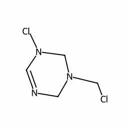 ClCN1CN=CN(Cl)C1